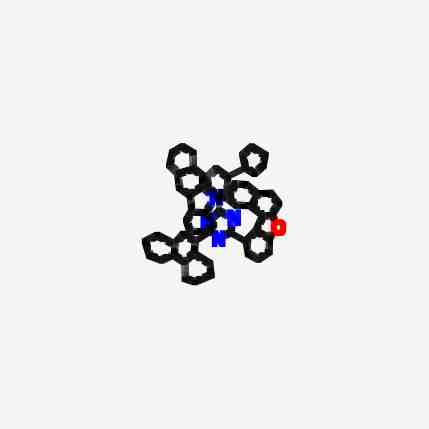 c1ccc(-c2cccc(-c3nc(-c4cc5ccccc5c5ccccc45)nc(-c4cccc5oc6ccc7ccc(-n8c9ccccc9c9cc%10ccccc%10cc98)cc7c6c45)n3)c2)cc1